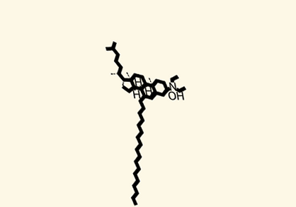 CCCCCCCCCCCCCCCCCCC1C=C2CC(O)(N(CC)CC)CC[C@]2(C)[C@H]2CC[C@]3(C)[C@@H]([C@H](C)CCCC(C)C)CC[C@H]3[C@H]12